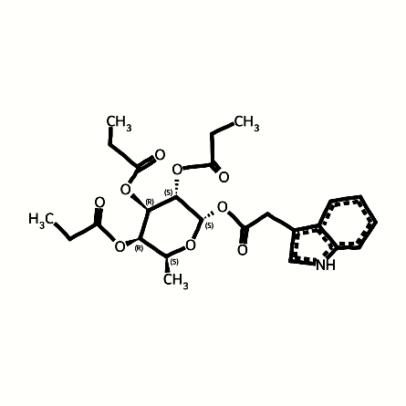 CCC(=O)O[C@H]1[C@H](OC(=O)CC)[C@H](OC(=O)Cc2c[nH]c3ccccc23)O[C@@H](C)[C@H]1OC(=O)CC